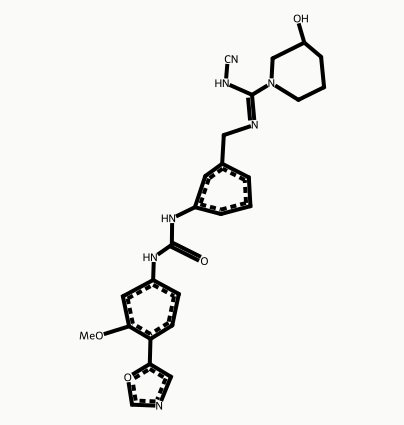 COc1cc(NC(=O)Nc2cccc(C/N=C(\NC#N)N3CCCC(O)C3)c2)ccc1-c1cnco1